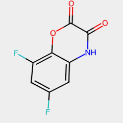 O=c1[nH]c2cc(F)cc(F)c2oc1=O